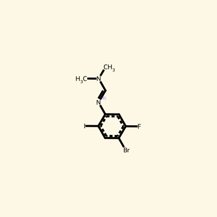 CN(C)/C=N/c1cc(F)c(Br)cc1I